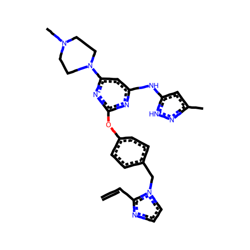 C=Cc1nccn1Cc1ccc(Oc2nc(Nc3cc(C)n[nH]3)cc(N3CCN(C)CC3)n2)cc1